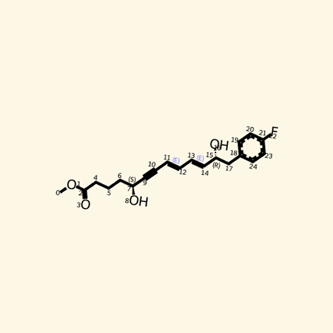 COC(=O)CCC[C@H](O)C#C/C=C/C=C/[C@H](O)Cc1ccc(F)cc1